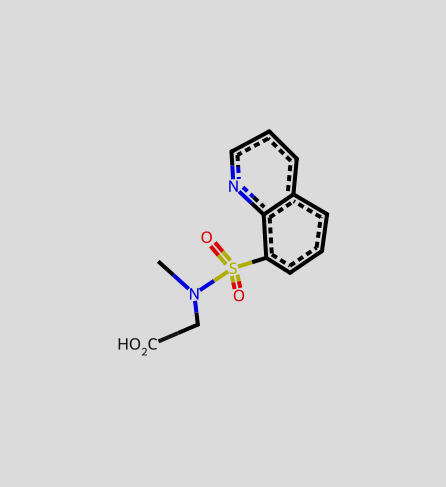 CN(CC(=O)O)S(=O)(=O)c1cccc2cccnc12